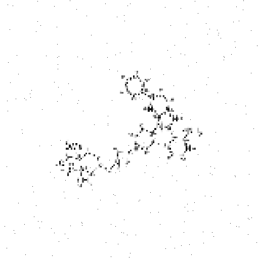 COC(=O)C1CCC(CN2CC(c3ccc(-n4c(-c5cccnc5N)nc5ccc(-c6ccccc6)nc54)cc3)C2)CC1(C)C